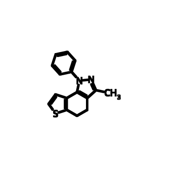 Cc1nn(-c2ccccc2)c2c1CCc1sccc1-2